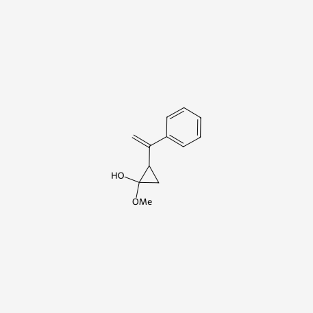 C=C(c1ccccc1)C1CC1(O)OC